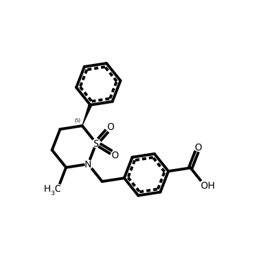 CC1CC[C@@H](c2ccccc2)S(=O)(=O)N1Cc1ccc(C(=O)O)cc1